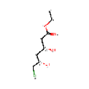 CCOC(=O)C[C@H](O)C[C@H](O)CCl